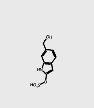 O=S(=O)(O)Oc1cc2ccc(CO)cc2[nH]1